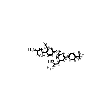 Cc1c[nH]c(-c2ccc(Nc3nc(CC(C)O)cc(-c4ccc(C(F)(F)F)cc4)n3)cc2C#N)n1